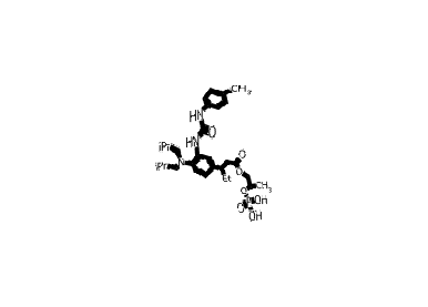 CCC(CC(=O)OCC(C)OP(=O)(O)O)c1ccc(N(CC(C)C)CC(C)C)c(NC(=O)Nc2ccc(C)cc2)c1